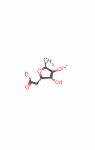 C[C@@H]1O[C@H](CC(=O)Br)[C@H](O)C1O